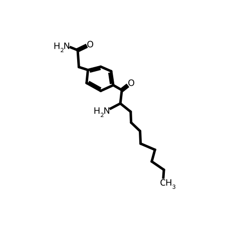 CCCCCCCCC(N)C(=O)c1ccc(CC(N)=O)cc1